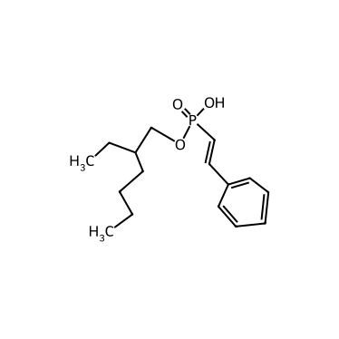 CCCCC(CC)COP(=O)(O)C=Cc1ccccc1